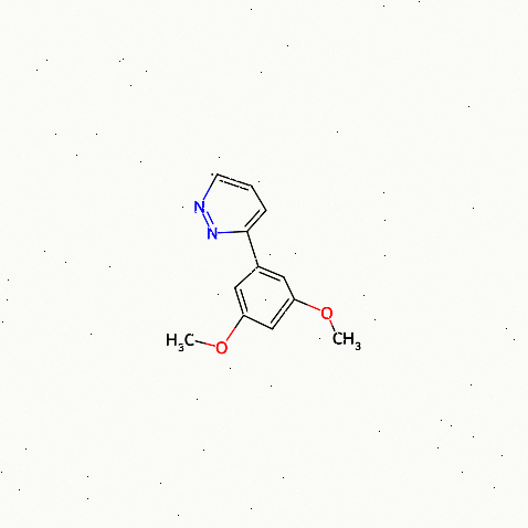 COc1cc(OC)cc(-c2cc[c]nn2)c1